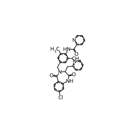 Cc1cc(CN2C(=O)c3ccc(Cl)cc3NC(=O)C2Cc2ccccn2)cc(C)c1NC(=O)c1ccccn1